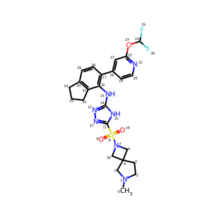 CN1CCC2(C1)CN(S(=O)(=O)c1nnc(Nc3c(-c4ccnc(OC(F)F)c4)ccc4c3CCC4)[nH]1)C2